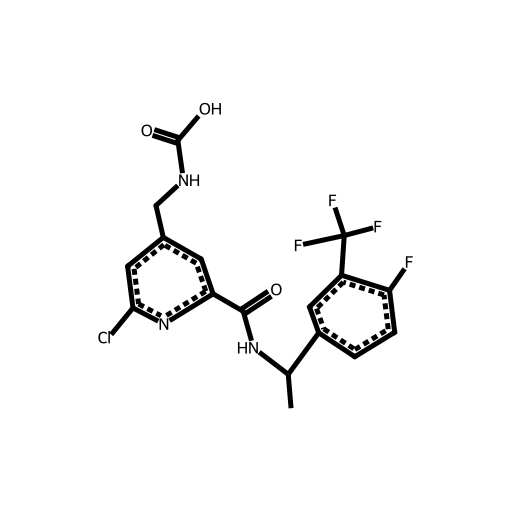 CC(NC(=O)c1cc(CNC(=O)O)cc(Cl)n1)c1ccc(F)c(C(F)(F)F)c1